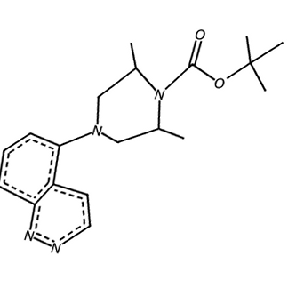 CC1CN(c2cccc3nnccc23)CC(C)N1C(=O)OC(C)(C)C